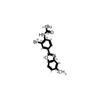 Cc1ccc2oc(-c3ccc(NC(=O)C(C)(C)C)c(Br)c3)nc2c1